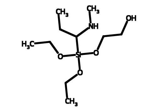 CCO[Si](OCC)(OCCO)C(CC)NC